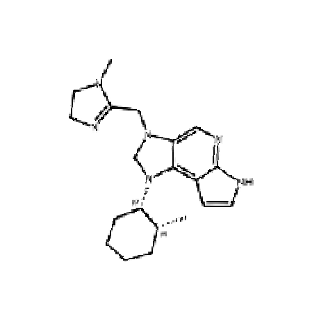 C[C@@H]1CCCC[C@@H]1N1CN(CC2=NCCN2C)c2cnc3[nH]ccc3c21